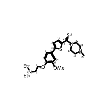 CCN(CC)CCOc1ccc(-c2ccc(C(=S)N3CCN(C)CC3)s2)cc1OC